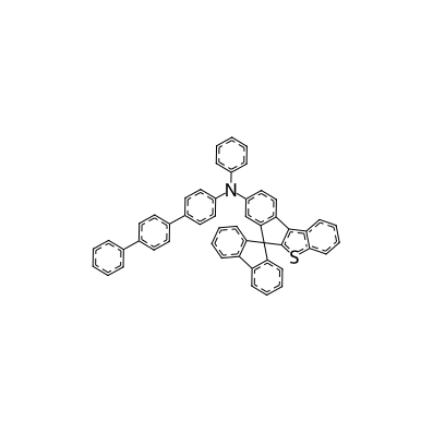 c1ccc(-c2ccc(-c3ccc(N(c4ccccc4)c4ccc5c(c4)C4(c6ccccc6-c6ccccc64)c4sc6ccccc6c4-5)cc3)cc2)cc1